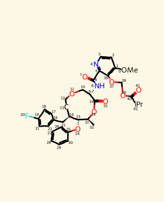 COc1ccnc(C(=O)N[C@H]2COCC[C@H](Cc3ccc(F)cc3)[C@@H](Oc3ccccc3)[C@H](C)OC2=O)c1OCOC(=O)C(C)C